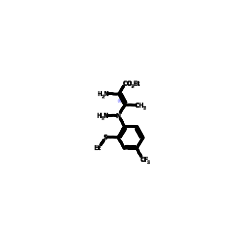 CCOC(=O)/C(N)=C(\C)N(N)c1ccc(C(F)(F)F)cc1SCC